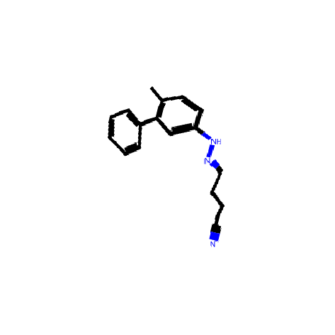 Cc1ccc(NN=CCCC#N)cc1-c1ccccc1